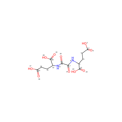 O=C(O)CCC(NC(=O)C(=O)NC(CCC(=O)O)C(=O)O)C(=O)O